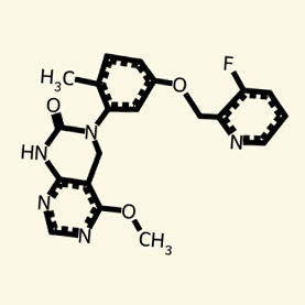 COc1ncnc2c1CN(c1cc(OCc3ncccc3F)ccc1C)C(=O)N2